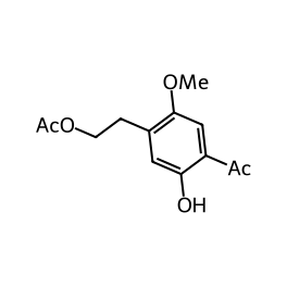 COc1cc(C(C)=O)c(O)cc1CCOC(C)=O